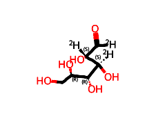 [2H]C(=O)[C@@]([2H])(O)[C@@]([2H])(O)[C@H](O)[C@H](O)CO